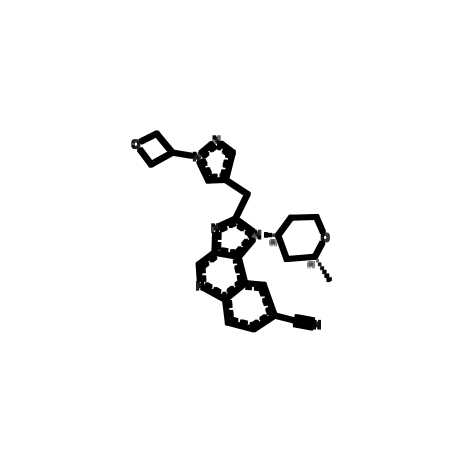 C[C@@H]1C[C@H](n2c(Cc3cnn(C4COC4)c3)nc3cnc4ccc(C#N)cc4c32)CCO1